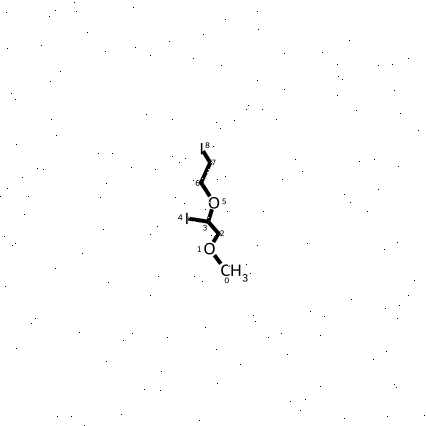 COCC(I)OCCI